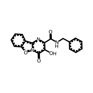 O=C(NCc1ccccc1)c1nc2c3ccccc3on2c(=O)c1O